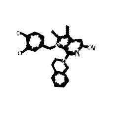 Cc1c(C)n(Cc2ccc(Cl)c(Cl)c2)c2c(N3CCc4ccccc4C3)nc(C#N)cc12